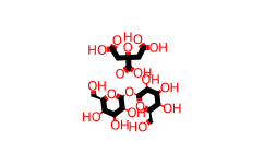 O=C(O)CC(O)(CC(=O)O)C(=O)O.OC[C@H]1O[C@H](O[C@H]2O[C@H](CO)[C@@H](O)[C@H](O)[C@H]2O)[C@H](O)[C@@H](O)[C@@H]1O